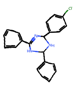 Clc1ccc(C2N=C(c3ccccc3)NC(c3ccccc3)N2)cc1